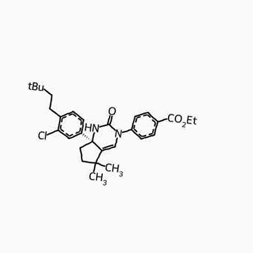 CCOC(=O)c1ccc(N2C=C3C(C)(C)CC[C@@]3(c3ccc(CCC(C)(C)C)c(Cl)c3)NC2=O)cc1